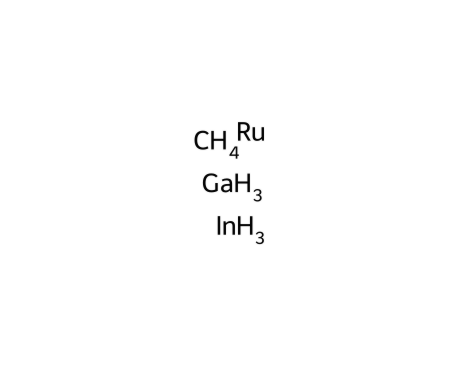 C.[GaH3].[InH3].[Ru]